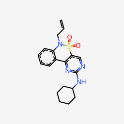 C=CCN1c2ccccc2-c2nc(NC3CCCCC3)ncc2S1(=O)=O